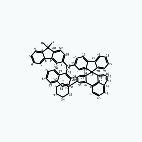 CC1(C)c2ccccc2-c2cc(N(c3ccc4c(c3)C3(c5ccccc5-4)c4ccc(C5CCCCC5)cc4-c4cccc5cccc3c45)c3cccc4ccccc34)ccc21